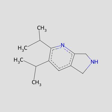 CC(C)c1cc2c(nc1C(C)C)CNC2